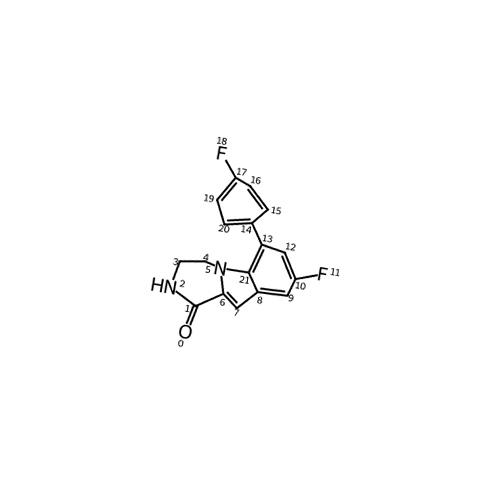 O=C1NCCn2c1cc1cc(F)cc(-c3ccc(F)cc3)c12